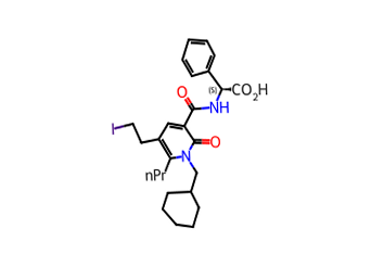 CCCc1c(CCI)cc(C(=O)N[C@H](C(=O)O)c2ccccc2)c(=O)n1CC1CCCCC1